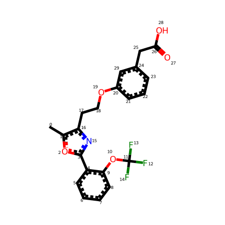 Cc1oc(-c2ccccc2OC(F)(F)F)nc1CCOc1cccc(CC(=O)O)c1